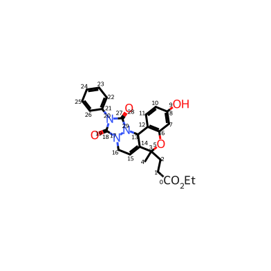 CCOC(=O)CCC1(C)Oc2cc(O)ccc2C2C1=CCn1c(=O)n(-c3ccccc3)c(=O)n12